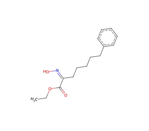 CCOC(=O)C(CCCCCc1ccccc1)=NO